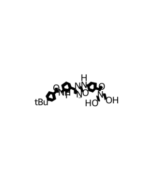 Cn1cc(-c2cccc(NC(=O)c3ccc(C(C)(C)C)cc3)c2F)nc(Nc2ccc(C(=O)N(CCO)CCO)cc2)c1=O